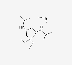 CCC1(CC)CC(PC(C)C)CC(PC(C)C)C1.[CH3][Ti][CH3]